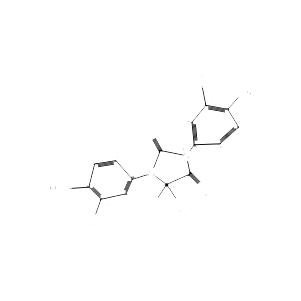 COc1ccc(N2C(=S)N(c3ccc(C#N)c(C)c3)C(=O)C2(C)C)cc1F